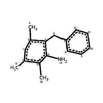 Cc1cc(C)c(Cc2ccccc2)c(N)c1C